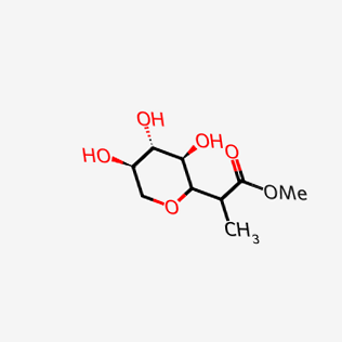 COC(=O)C(C)C1OC[C@@H](O)[C@H](O)[C@H]1O